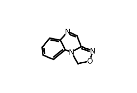 C1=Nc2ccccc2N2CON=C12